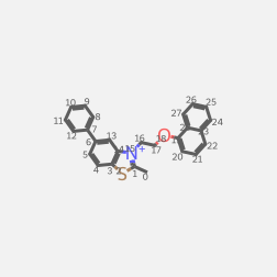 Cc1sc2ccc(-c3ccccc3)cc2[n+]1CCOc1cccc2ccccc12